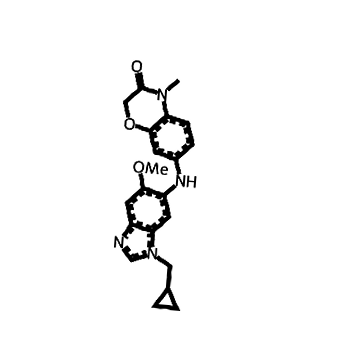 COc1cc2ncn(CC3CC3)c2cc1Nc1ccc2c(c1)OCC(=O)N2C